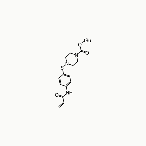 C=CC(=O)Nc1ccc(SN2CCN(C(=O)OC(C)(C)C)CC2)cc1